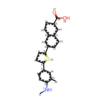 CNc1ccc(-c2ccc(-c3ccc4cc(C(=O)O)ccc4c3)s2)cc1C